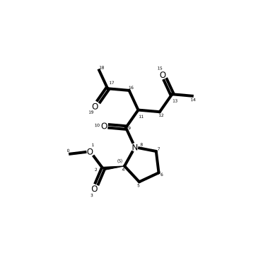 COC(=O)[C@@H]1CCCN1C(=O)C(CC(C)=O)CC(C)=O